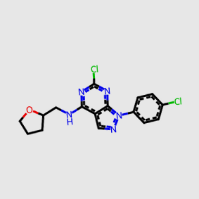 Clc1ccc(-n2ncc3c(NCC4CCCO4)nc(Cl)nc32)cc1